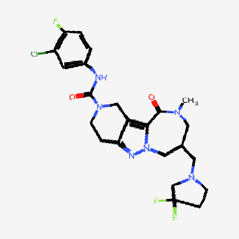 CN1CC(CN2CCC(F)(F)C2)Cn2nc3c(c2C1=O)CN(C(=O)Nc1ccc(F)c(Cl)c1)CC3